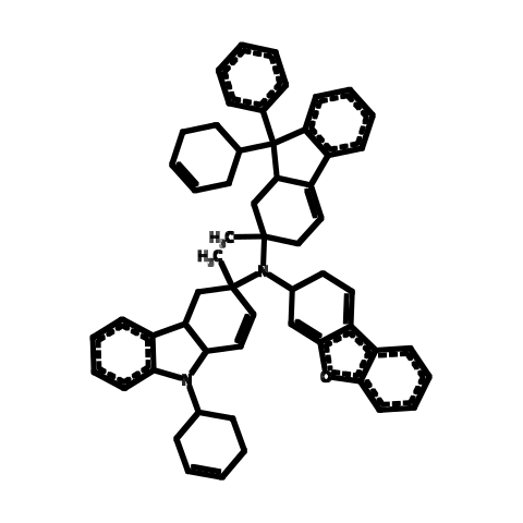 CC1(N(C2C=c3oc4ccccc4c3=CC2)C2(C)CC=C3c4ccccc4C(c4ccccc4)(C4CC=CCC4)C3C2)C=CC2C(C1)c1ccccc1N2C1CC=CCC1